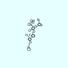 Cc1c(COc2cc(OCc3cncc(C#N)c3)c(CN3CCCC[C@H]3C(=O)O)cc2Cl)cccc1-c1cccc(OCCCN2CCCCC2)c1